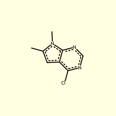 Cc1cc2c(Cl)ncnc2n1C